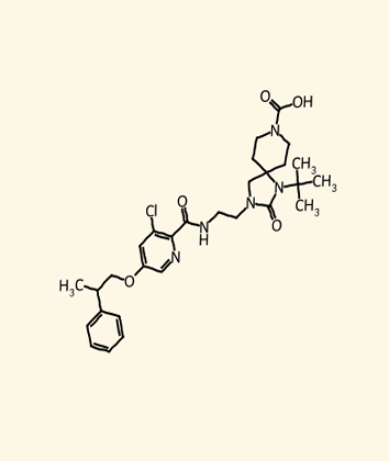 CC(COc1cnc(C(=O)NCCN2CC3(CCN(C(=O)O)CC3)N(C(C)(C)C)C2=O)c(Cl)c1)c1ccccc1